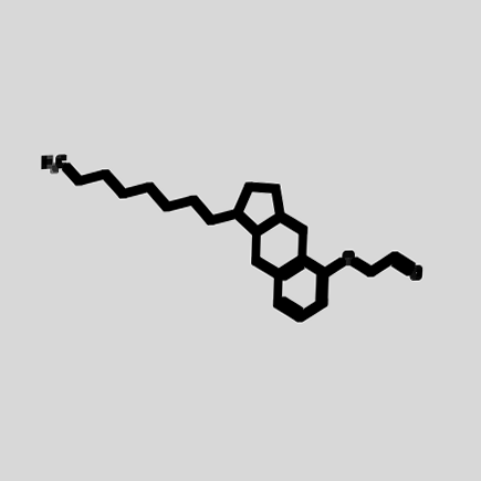 CCCCCCCCC1CCC2Cc3c(cccc3OCC=O)CC12